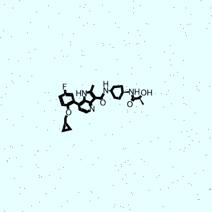 Cc1[nH]c2c(-c3cc(F)ccc3OCC3CC3)ccnc2c1C(=O)N[C@H]1CC[C@H](NC(=O)[C@H](C)O)CC1